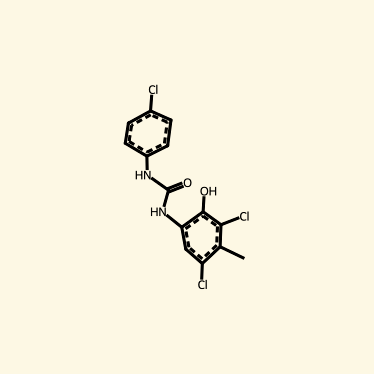 Cc1c(Cl)cc(NC(=O)Nc2ccc(Cl)cc2)c(O)c1Cl